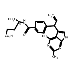 C=CC(c1ccc(C(=O)N[C@@H](CCC(=O)O)C(=O)O)cc1)c1c[nH]c2nc(C)nc(O)c12